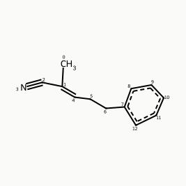 C/C(C#N)=C\CCc1ccccc1